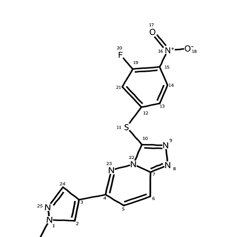 Cn1cc(-c2ccc3nnc(Sc4ccc([N+](=O)[O-])c(F)c4)n3n2)cn1